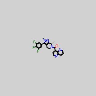 C[C@H]1c2nn(C)c(-c3cc(F)c(F)c(F)c3)c2CCN1C(=O)c1ccnc2cccnc12